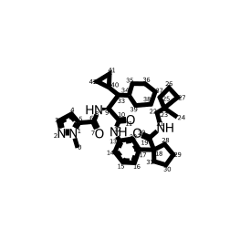 Cn1nccc1C(=O)N[C@H](C(=O)Nc1cccc(C2(C(=O)NCC3(C)CCC3)CCCC2)c1)C(C1CCCCC1)C1CC1